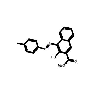 COC(=O)c1cc2ccccc2c(/N=N/c2ccc(C)cc2)c1O